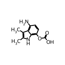 Cc1[nH]c2c(OC(=O)O)ccc(N)c2c1C